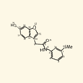 CSc1cccc(NC(=O)Cc2coc3cc(O)ccc23)c1